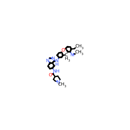 C/C=N\c1cc(Oc2ccc(Nc3ncnc4ccc(NC(=O)C5CCN(C)CC5)cc34)cc2C)ccc1CC